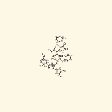 CCC(C)C(C(=O)NC(Cc1ccccc1)C(O)CN(Cc1cc(C)c(C)o1)NC(=O)C(NC(=O)OC)C(C)(C)C)C1CNC(=O)N1Cc1cccc(C)n1